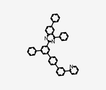 c1ccc(-c2cc(-c3ccc(-c4cccc(-c5ccccn5)c4)cc3)cc(-c3nc(-c4ccccc4)c4cc(-c5ccccc5)ccc4n3)c2)cc1